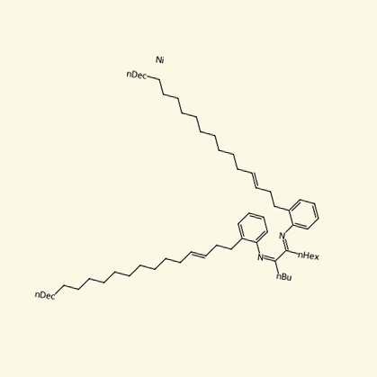 CCCCCCCCCCCCCCCCCCCCC=CCCc1ccccc1N=C(CCCC)C(CCCCCC)=Nc1ccccc1CCC=CCCCCCCCCCCCCCCCCCCCC.[Ni]